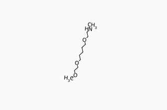 CNCCOCCCCCOCCOC